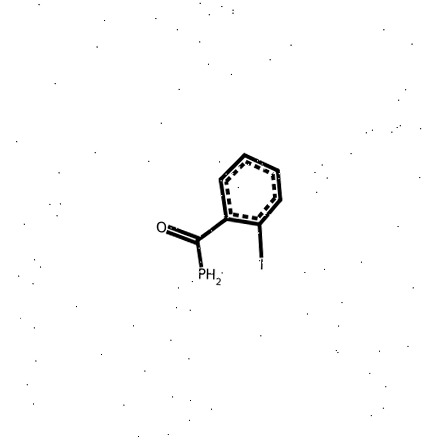 O=C(P)c1ccccc1I